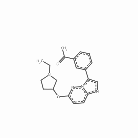 CCN1CCC(Oc2ccc3ncc(-c4cccc(C(C)=O)c4)n3n2)C1